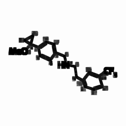 COC1(c2ccc(CNCCc3cccc(C(F)(F)F)c3)cc2)CC1